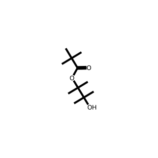 CC(C)(C)C(=O)OC(C)(C)C(C)(C)O